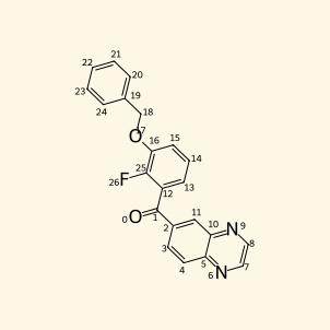 O=C(c1ccc2nccnc2c1)c1cccc(OCc2ccccc2)c1F